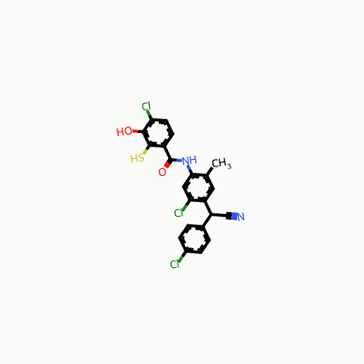 Cc1cc(C(C#N)c2ccc(Cl)cc2)c(Cl)cc1NC(=O)c1ccc(Cl)c(O)c1S